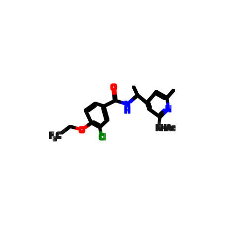 CC(=O)Nc1cc(C(C)NC(=O)c2ccc(OCC(F)(F)F)c(Cl)c2)cc(C)n1